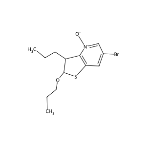 CCCOC1Sc2cc(Br)c[n+]([O-])c2C1CCC